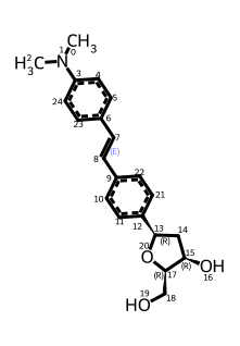 CN(C)c1ccc(/C=C/c2ccc([C@H]3C[C@@H](O)[C@@H](CO)O3)cc2)cc1